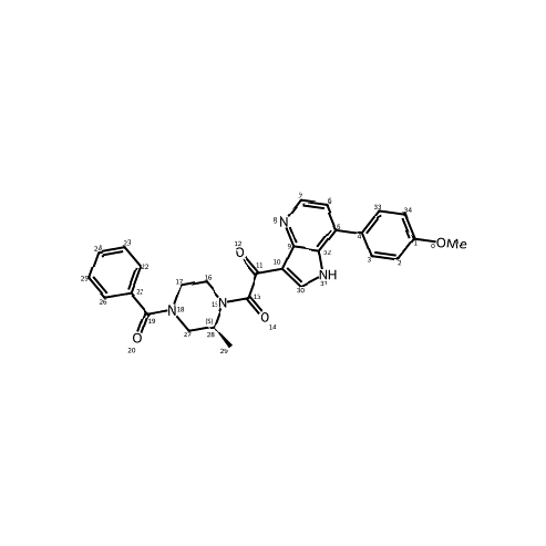 COc1ccc(-c2ccnc3c(C(=O)C(=O)N4CCN(C(=O)c5ccccc5)C[C@@H]4C)c[nH]c23)cc1